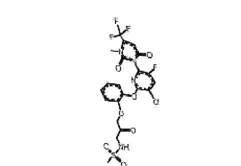 Cn1c(C(F)(F)F)cc(=O)n(-c2nc(Oc3ccccc3OCC(=O)CNS(C)(=O)=O)c(Cl)cc2F)c1=O